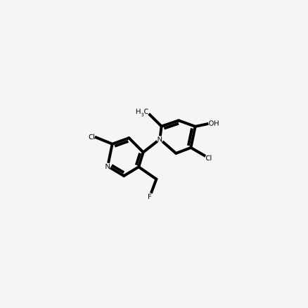 CC1=CC(O)=C(Cl)CN1c1cc(Cl)ncc1CF